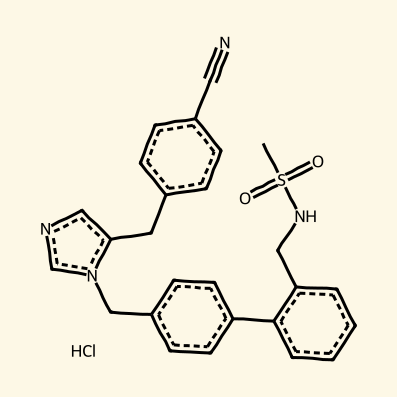 CS(=O)(=O)NCc1ccccc1-c1ccc(Cn2cncc2Cc2ccc(C#N)cc2)cc1.Cl